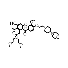 CCc1c(O)cc(O)c(C(=O)c2ccc(OCCN3CCC(N4CCOCC4)CC3)c(OC)c2)c1CC(=O)N(CCOC)CCOC